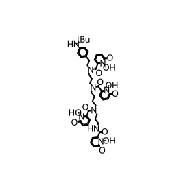 CC(C)(C)Nc1ccc(CCN(CCCN(CCCCN(CCCNC(=O)c2cccc(=O)n2O)C(=O)c2cccc(=O)n2O)C(=O)c2cccc(=O)n2O)C(=O)c2cccc(=O)n2O)cc1